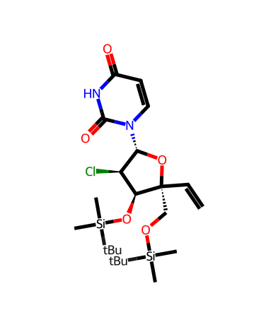 C=C[C@]1(CO[Si](C)(C)C(C)(C)C)O[C@@H](n2ccc(=O)[nH]c2=O)[C@H](Cl)[C@@H]1O[Si](C)(C)C(C)(C)C